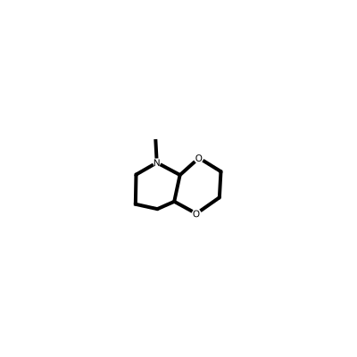 CN1CCCC2OCCOC21